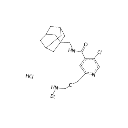 CCNCCCc1cc(C(=O)NCC23CC4CC(CC(C4)C2)C3)c(Cl)cn1.Cl